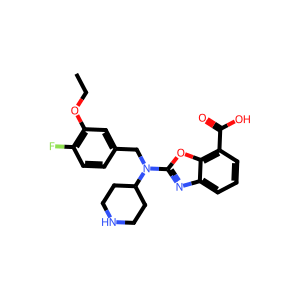 CCOc1cc(CN(c2nc3cccc(C(=O)O)c3o2)C2CCNCC2)ccc1F